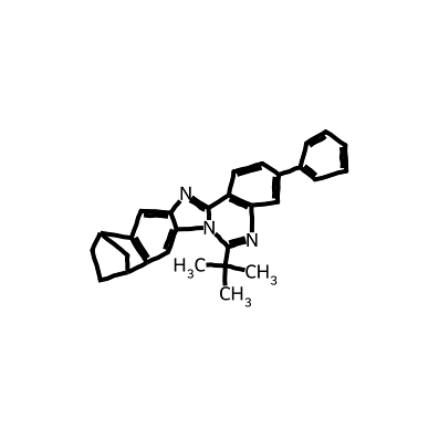 CC(C)(C)c1nc2cc(-c3ccccc3)ccc2c2nc3cc4c(cc3n12)C1CCC4C1